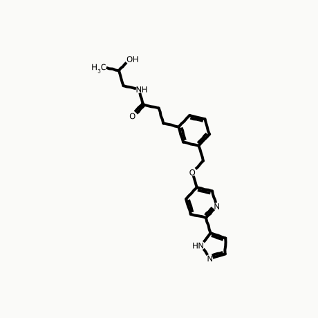 CC(O)CNC(=O)CCc1cccc(COc2ccc(-c3ccn[nH]3)nc2)c1